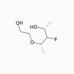 C[C@H](OCCO)C(F)[C@@H](C)O